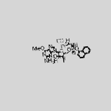 COc1nc(N)nc2c1ncn2[C@@H]1O[C@H](COP(=O)(NC(C(=O)O)C(C)C)Oc2cccc3ccccc23)[C@@H](F)[C@@]1(C)O